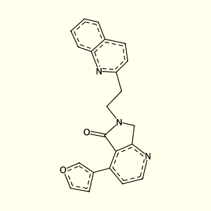 O=C1c2c(-c3ccoc3)ccnc2CN1CCc1ccc2ccccc2n1